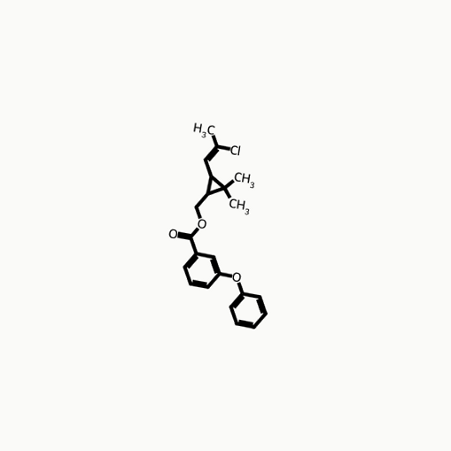 C/C(Cl)=C/C1C(COC(=O)c2cccc(Oc3ccccc3)c2)C1(C)C